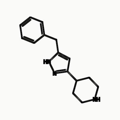 c1ccc(Cc2cc(C3CCNCC3)n[nH]2)cc1